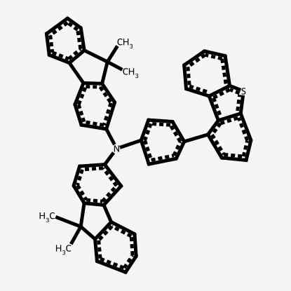 CC1(C)c2ccccc2-c2cc(N(c3ccc(-c4cccc5sc6ccccc6c45)cc3)c3ccc4c(c3)C(C)(C)c3ccccc3-4)ccc21